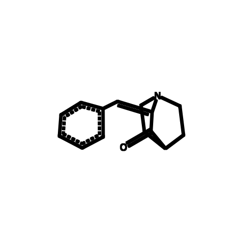 O=C1/C(=C\c2ccccc2)N2CCC1CC2